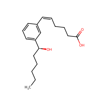 CCCCC[C@H](O)c1cccc(/C=C\CCCC(=O)O)c1